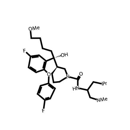 CNCC(CC(C)C)NC(=O)N1CCC[C@@H]([C@](O)(CCCCOC)c2cc(F)ccc2Oc2ccc(F)cc2)C1